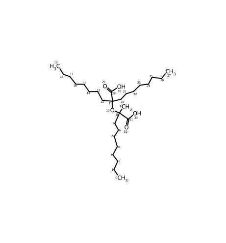 CCCCCCCCC(C)(OC(CCCCCCCC)(CCCCCCCC)C(=O)O)C(=O)O